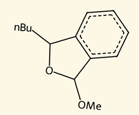 CCCCC1OC(OC)c2ccccc21